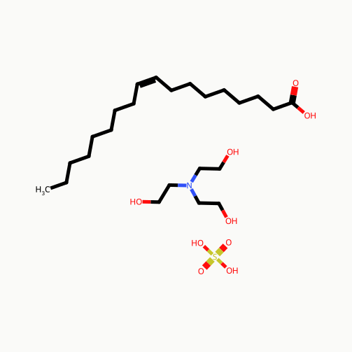 CCCCCCCC/C=C\CCCCCCCC(=O)O.O=S(=O)(O)O.OCCN(CCO)CCO